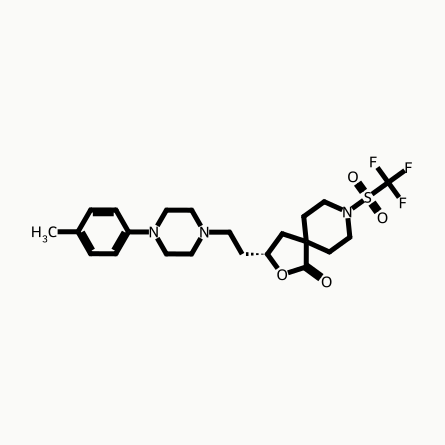 Cc1ccc(N2CCN(CC[C@@H]3CC4(CCN(S(=O)(=O)C(F)(F)F)CC4)C(=O)O3)CC2)cc1